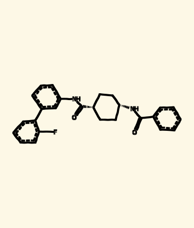 O=C(N[C@H]1CC[C@@H](C(=O)Nc2cccc(-c3ccccc3F)c2)CC1)c1ccccc1